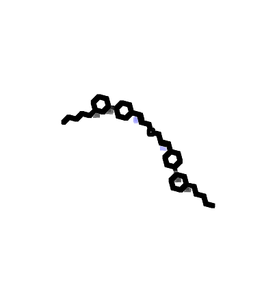 CCCCC[C@H]1CCC[C@H](C2CCC(/C=C/COC/C=C/C3CCC([C@H]4CCC[C@H](CCCCC)C4)CC3)CC2)C1